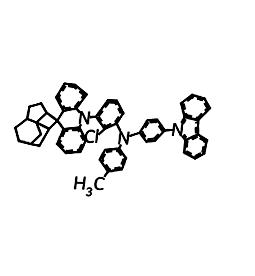 Cc1ccc(N(c2ccc(-n3c4ccccc4c4ccccc43)cc2)c2cccc(N3c4ccccc4C4(c5ccccc53)C3CCC5CCC6CC4C53C6)c2Cl)cc1